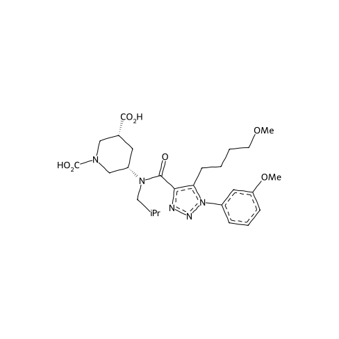 COCCCCc1c(C(=O)N(CC(C)C)[C@H]2C[C@@H](C(=O)O)CN(C(=O)O)C2)nnn1-c1cccc(OC)c1